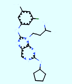 Cc1cc(Cl)cc(Nc2nc3cnc(NC4CCCC4)nc3n2CCC(C)N)c1